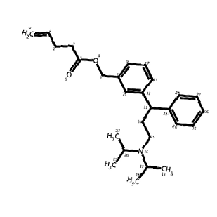 C=CCCC(=O)OCc1cc[c]c(C(CCN(C(C)C)C(C)C)c2ccccc2)c1